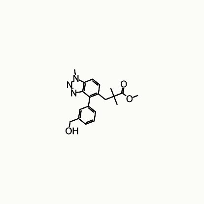 COC(=O)C(C)(C)Cc1ccc2c(nnn2C)c1-c1cccc(CO)c1